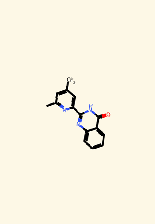 Cc1cc(C(F)(F)F)cc(-c2nc3ccccc3c(=O)[nH]2)n1